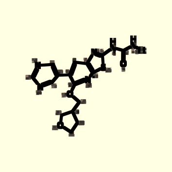 CCNC(=O)Nc1nc2cc(-c3cncnc3)c(OCC3CCOC3)nc2s1